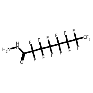 NNC(=O)C(F)(F)C(F)(F)C(F)(F)C(F)(F)C(F)(F)C(F)(F)C(F)(F)F